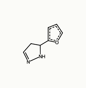 C1=NNC(c2ccco2)C1